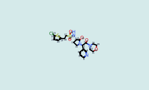 O=C(C(c1cccnc1)N1CC[C@H](NS(=O)(=O)CCc2ccc(Cl)s2)C1=O)N1CCOCC1